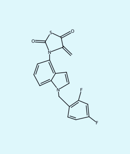 C=C1C(=O)SC(=O)N1c1cccc2c1ccn2Cc1ccc(F)cc1F